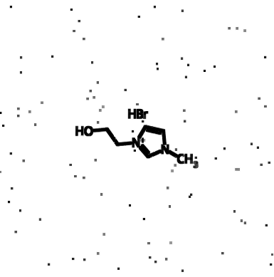 Br.Cn1cc[n+](CCO)c1